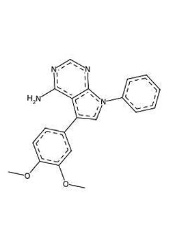 COc1ccc(-c2cn(-c3ccccc3)c3ncnc(N)c23)cc1OC